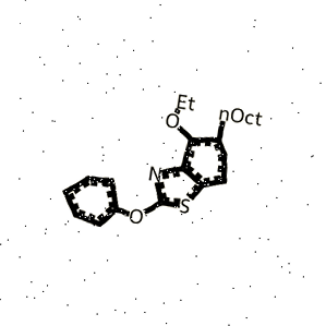 CCCCCCCCc1ccc2sc(Oc3ccccc3)nc2c1OCC